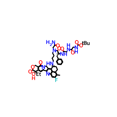 CC[C@@]1(O)C(=O)OCc2c1cc1n(c2=O)Cc2c-1nc1cc(F)c(C)c3c1c2[C@@H](NCCCCN(CC(N)=O)C(=O)[C@H](Cc1ccccc1)NC(=O)CNC(=O)CNC(=O)OC(C)(C)C)CC3